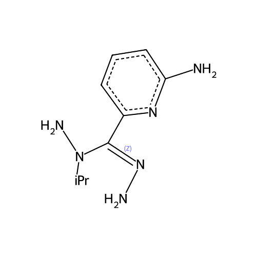 CC(C)N(N)/C(=N\N)c1cccc(N)n1